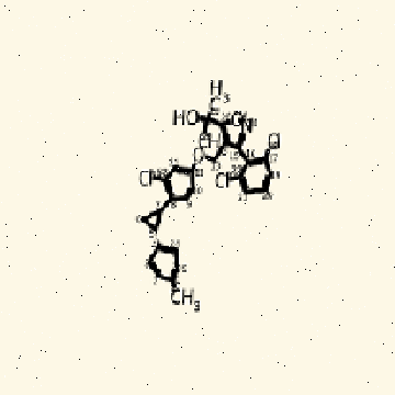 Cc1ccc([C@@H]2CC2c2ccc(OCc3c(-c4c(Cl)cccc4Cl)noc3C(C)(C)O)cc2Cl)cc1